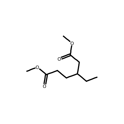 CCC(CCC(=O)OC)CC(=O)OC